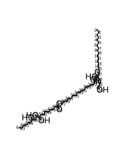 CCCCCCCCCCCCCCCCOCC(O)CN(CCO)C(=O)CCCCCCCCCCCCCCCOC(=O)CCCCCCCC(O)C(O)CC(O)CCCCCC